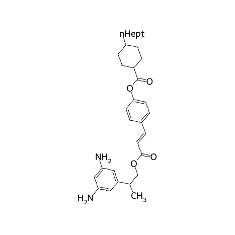 CCCCCCCC1CCC(C(=O)Oc2ccc(/C=C/C(=O)OCC(C)c3cc(N)cc(N)c3)cc2)CC1